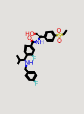 CCS(=O)(=O)c1ccc([C@H](CO)NC(=O)c2ccc(C(NCc3ccc(F)cc3)C(C)C)c(F)c2)cc1